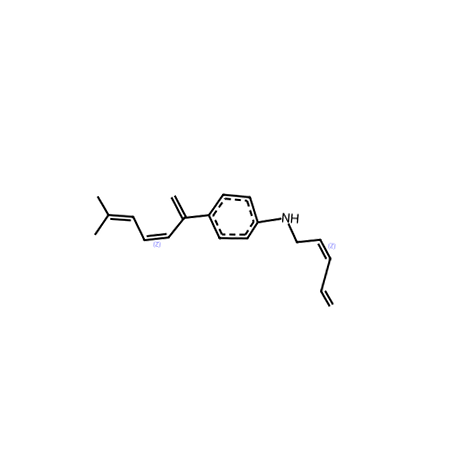 C=C/C=C\CNc1ccc(C(=C)/C=C\C=C(C)C)cc1